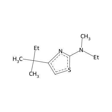 CCN(C)c1nc(C(C)(C)CC)cs1